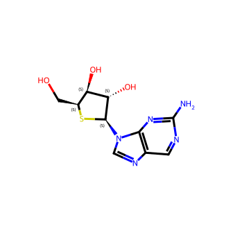 Nc1ncc2ncn([C@H]3S[C@@H](CO)[C@@H](O)[C@@H]3O)c2n1